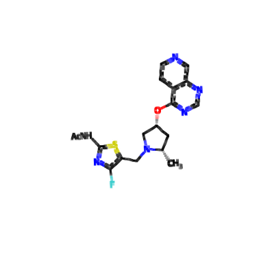 CC(=O)Nc1nc(F)c(CN2C[C@H](Oc3ncnc4cnccc34)C[C@@H]2C)s1